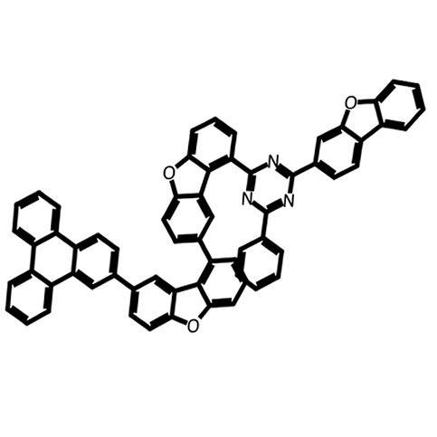 c1ccc(-c2nc(-c3ccc4c(c3)oc3ccccc34)nc(-c3cccc4oc5ccc(-c6cccc7oc8ccc(-c9ccc%10c%11ccccc%11c%11ccccc%11c%10c9)cc8c67)cc5c34)n2)cc1